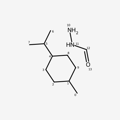 CC1CCC(C(C)C)CC1.NNC=O